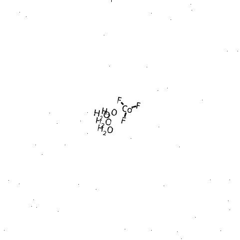 O.O.O.O.[F][Co]([F])[F]